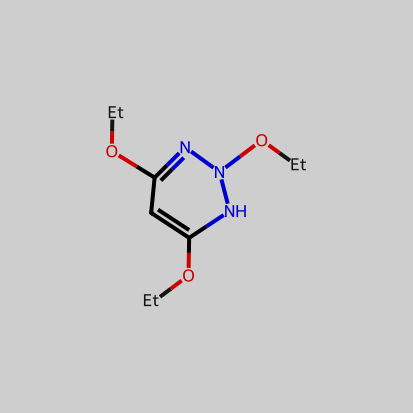 CCOC1=CC(OCC)=NN(OCC)N1